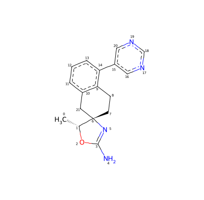 C[C@H]1OC(N)=N[C@]12CCc1c(cccc1-c1cncnc1)C2